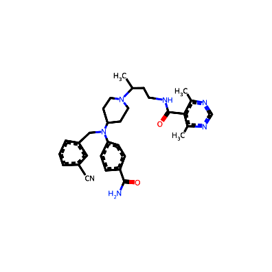 Cc1ncnc(C)c1C(=O)NCCC(C)N1CCC(N(Cc2cccc(C#N)c2)c2ccc(C(N)=O)cc2)CC1